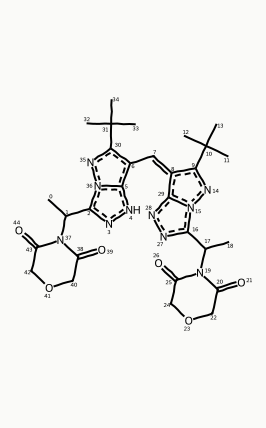 CC(c1n[nH]c2c(C=c3c(C(C)(C)C)nn4c(C(C)N5C(=O)COCC5=O)nnc34)c(C(C)(C)C)nn12)N1C(=O)COCC1=O